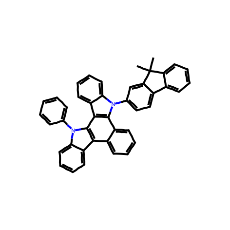 CC1(C)c2ccccc2-c2ccc(-n3c4ccccc4c4c3c3ccccc3c3c5ccccc5n(-c5ccccc5)c34)cc21